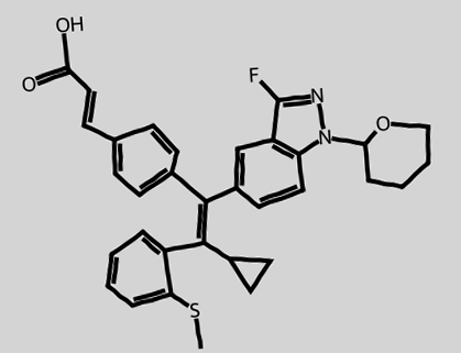 CSc1ccccc1C(=C(c1ccc(C=CC(=O)O)cc1)c1ccc2c(c1)c(F)nn2C1CCCCO1)C1CC1